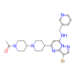 CC(=O)N1CCC(N2CCC(c3cc(NCc4cccnc4)n4ncc(Br)c4n3)CC2)CC1